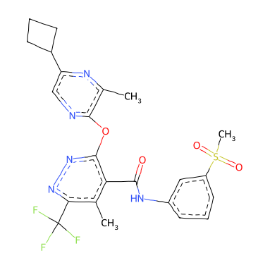 Cc1nc(C2CCC2)cnc1Oc1nnc(C(F)(F)F)c(C)c1C(=O)Nc1cccc(S(C)(=O)=O)c1